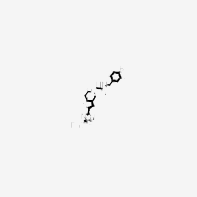 O=C(CN1CCc2sc(-c3noc(C(F)(F)F)n3)cc2C1)NCc1ccc(F)cc1